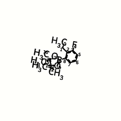 CCc1c(F)cccc1B1OC(C)(C)C(C)(C)O1